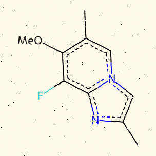 COc1c(C)cn2cc(C)nc2c1F